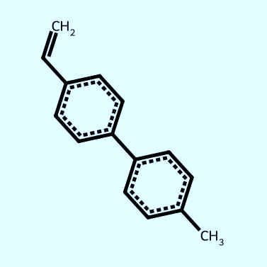 C=Cc1ccc(-c2ccc(C)cc2)cc1